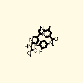 COC(=O)Nc1ccc(-c2cnc3c(C)cc(C(=O)N(C)c4ccc(F)c(F)c4)cn23)cn1